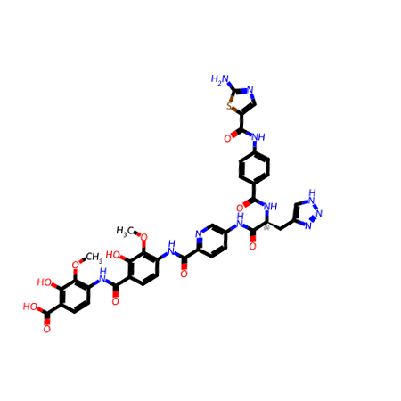 COc1c(NC(=O)c2ccc(NC(=O)c3ccc(NC(=O)[C@H](Cc4c[nH]nn4)NC(=O)c4ccc(NC(=O)c5cnc(N)s5)cc4)cn3)c(OC)c2O)ccc(C(=O)O)c1O